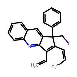 C=CC1=C(/C=C\C)C(CI)(c2ccccc2)c2cc3ccccc3nc21